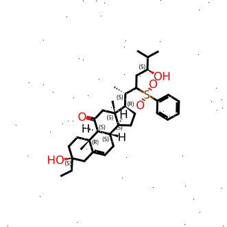 CC[C@]1(O)CC[C@@]2(C)C(=CC[C@H]3[C@@H]4CC[C@H]([C@H](C)C(C[C@H](O)C(C)C)S(=O)(=O)c5ccccc5)[C@@]4(C)CC(=O)[C@@H]32)C1